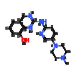 CN1CCN(c2ccc(Nc3ncc4cccc(O)c4n3)nc2)CC1